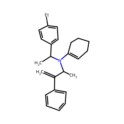 C=C(c1ccccc1)C(C)N(C1=CCCCC1)C(C)c1ccc(CC)cc1